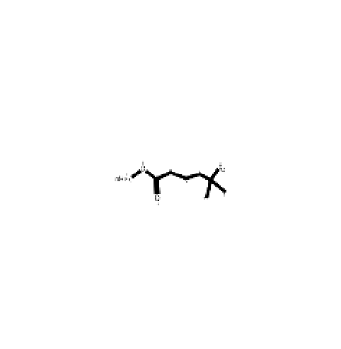 CCCCCCOC(=O)CCCC(C)(C)CC